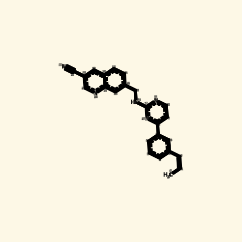 C/C=C\c1cccc(-c2ccnc(NCc3ccc4cc(C#N)cnc4c3)n2)c1